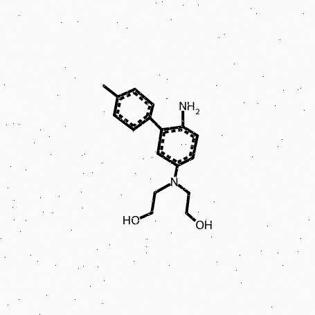 Cc1ccc(-c2cc(N(CCO)CCO)ccc2N)cc1